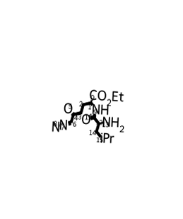 CCOC(=O)[C@H](CCC(=O)C=[N+]=[N-])NC(=O)[C@@H](N)CC(C)C